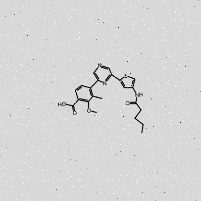 CCCCC(=O)Nc1csc(-c2cncc(-c3ccc(C(=O)O)c(OC)c3C)n2)c1